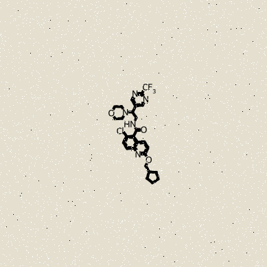 O=C(NCC(c1cnc(C(F)(F)F)nc1)N1CCOCC1)c1c(Cl)ccc2nc(OCC3CCCC3)ccc12